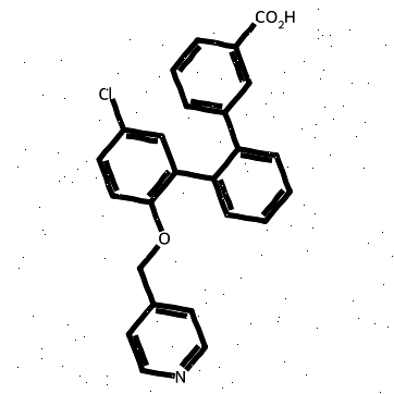 O=C(O)c1cccc(-c2ccccc2-c2cc(Cl)ccc2OCc2ccncc2)c1